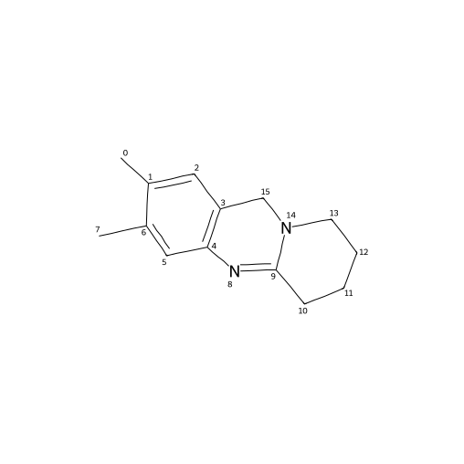 Cc1cc2c(cc1C)N=C1CCCCN1C2